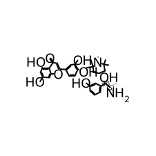 CN1C(C)(C)CCCC1(C)C.C[C@H](N)[C@H](O)c1cccc(O)c1.O=c1cc(-c2ccc(O)c(O)c2)oc2cc(O)cc(O)c12